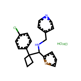 Cl.Cl.Clc1ccc(C2(C(NCc3ccncc3)c3cccs3)CCC2)cc1